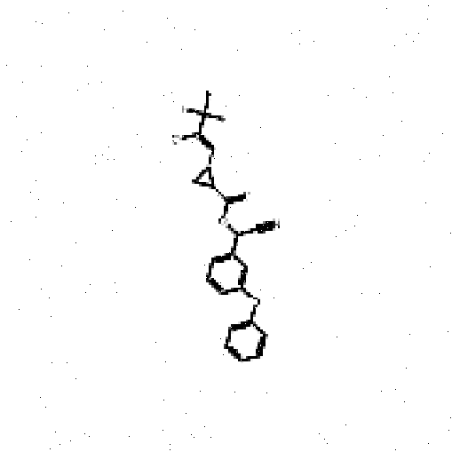 N#CC(OC(=O)[C@H]1C[C@H]1/C=C(\Cl)C(F)(F)F)c1cccc(Oc2ccccc2)c1